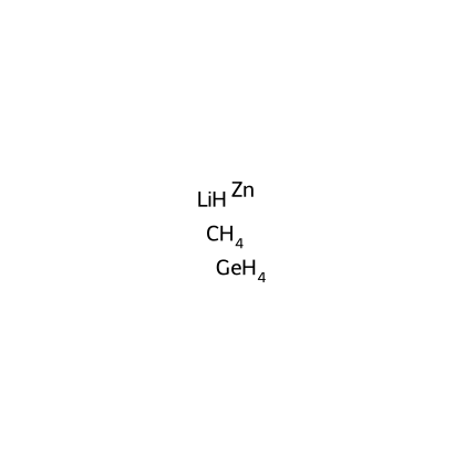 C.[GeH4].[LiH].[Zn]